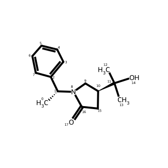 C[C@H](c1ccccc1)N1C[C@@H](C(C)(C)O)CC1=O